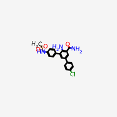 CS(=O)(=O)Nc1ccc(-c2cc(-c3ccc(Cl)cc3)cc(C(N)=O)c2N)cc1